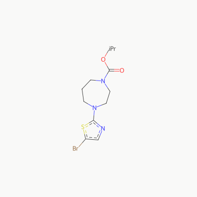 CC(C)OC(=O)N1CCCN(c2ncc(Br)s2)CC1